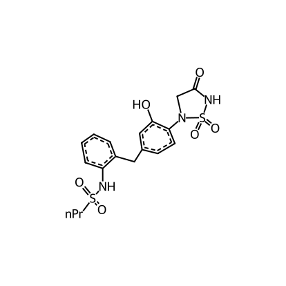 CCCS(=O)(=O)Nc1ccccc1Cc1ccc(N2CC(=O)NS2(=O)=O)c(O)c1